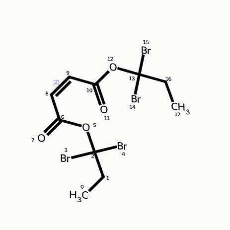 CCC(Br)(Br)OC(=O)/C=C\C(=O)OC(Br)(Br)CC